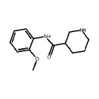 COc1ccccc1NC(=O)C1CCCNC1